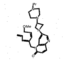 C=C/C=C(\C=C/COC)Cn1c(=O)ccc2ncc(N3CC(N4CCN(C(C)C)CC4)C3)cc21